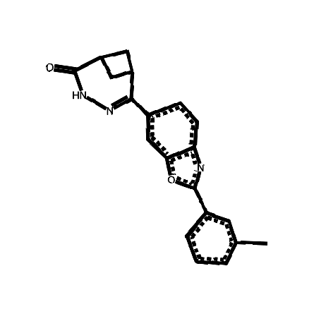 Cc1cccc(-c2nc3ccc(C4=NNC(=O)C5CC4C5)cc3o2)c1